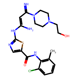 Cc1cccc(Cl)c1NC(=O)c1cnc(N/C(N)=C/C(=N)N2CCN(CCO)CC2)s1